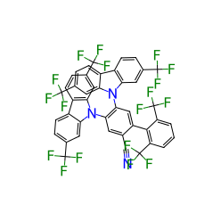 N#Cc1cc(-n2c3cc(C(F)(F)F)ccc3c3ccc(C(F)(F)F)cc32)c(-n2c3cc(C(F)(F)F)ccc3c3ccc(C(F)(F)F)cc32)cc1-c1c(C(F)(F)F)cccc1C(F)(F)F